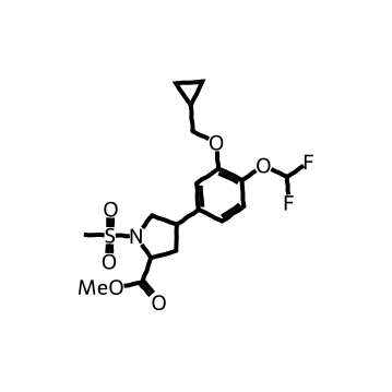 COC(=O)C1CC(c2ccc(OC(F)F)c(OCC3CC3)c2)CN1S(C)(=O)=O